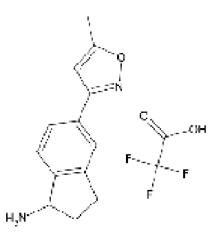 Cc1cc(-c2ccc3c(c2)CCC3N)no1.O=C(O)C(F)(F)F